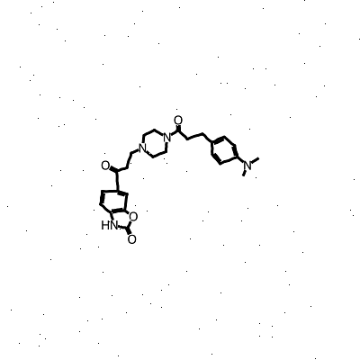 CN(C)c1ccc(CCC(=O)N2CCN(CCC(=O)c3ccc4[nH]c(=O)oc4c3)CC2)cc1